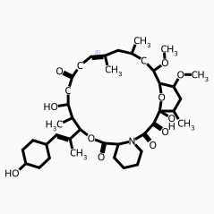 COC1CC(C)C/C(C)=C/CC(=O)CC(O)C(C)C(C(C)=CC2CCC(O)CC2)OC(=O)C2CCCCN2C(=O)C(=O)C2(O)OC1C(OC)CC2C